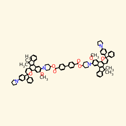 COc1cc2c3c(c4c(c2cc1N1CCC(OC(=O)c2ccc(-c5ccc(C(=O)OC6CCN(c7cc8c9c(c%10c(c8cc7OC)OC(c7ccccc7)(c7ccc(N8CCCC8)cc7)C=C%10)C(C)(C)c7ccccc7-9)CC6)cc5)cc2)CC1)-c1ccccc1C4(C)C)C=CC(c1ccccc1)(c1ccc(N2CCCC2)cc1)O3